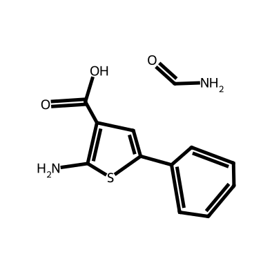 NC=O.Nc1sc(-c2ccccc2)cc1C(=O)O